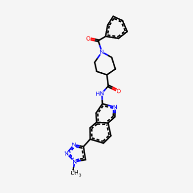 Cn1cc(-c2ccc3cnc(NC(=O)C4CCN(C(=O)c5ccccc5)CC4)cc3c2)nn1